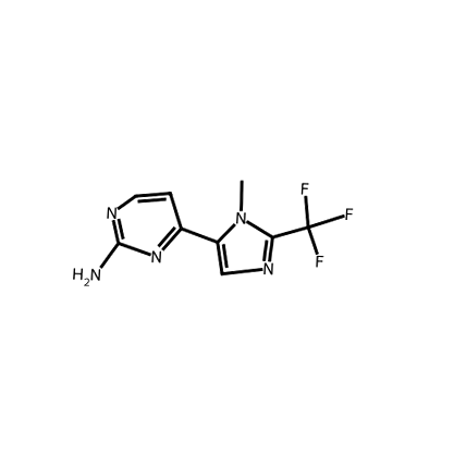 Cn1c(-c2ccnc(N)n2)cnc1C(F)(F)F